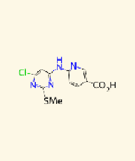 CSc1nc(Cl)cc(Nc2ccc(C(=O)O)cn2)n1